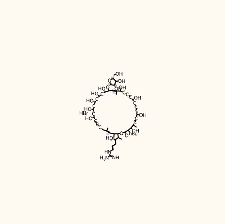 Br.CCCCC1C(=O)OC(C(C)C(O)CCCNC(=N)N)C(C)/C=C(\C)CCCCC(O)CC(O)CC(O)CC(O)CC(O)C(O[C@H]2O[C@H](CO)[C@@H](O)[C@@H]2O)/C=C(\C)C(O)CCCC(O)CCCC(O)CCC(C)C1O